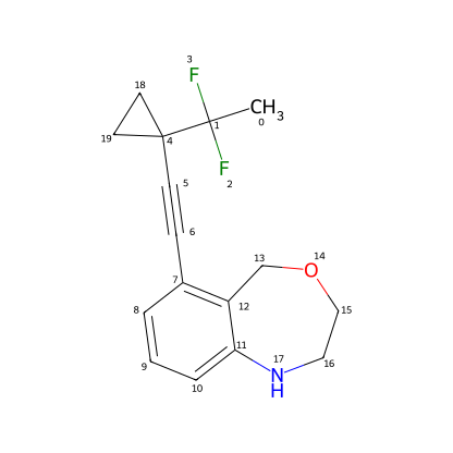 CC(F)(F)C1(C#Cc2cccc3c2COCCN3)CC1